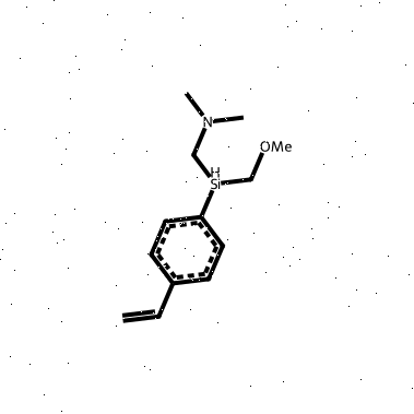 C=Cc1ccc([SiH](COC)CN(C)C)cc1